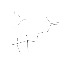 C=C(C)CCOC(C)(C)C(C)(C)O.OB(O)O